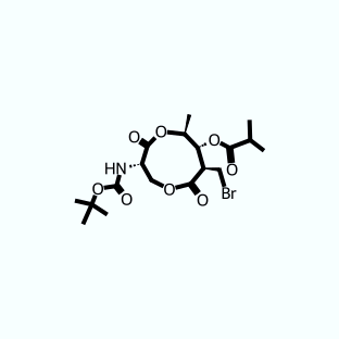 CC(C)C(=O)O[C@H]1[C@H](C)OC(=O)[C@@H](NC(=O)OC(C)(C)C)COC(=O)[C@@H]1CBr